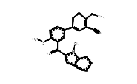 CCC1=C(C#N)C=C(c2ccc(NC)c(C(=N)c3cc4ccccc4n3C)c2)CC1